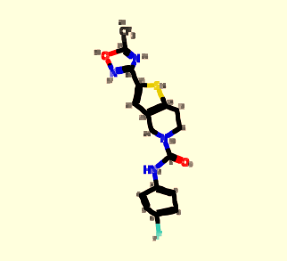 O=C(Nc1ccc(F)cc1)N1CCc2sc(-c3noc(C(F)(F)F)n3)cc2C1